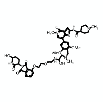 COc1cc(-c2cn(C)c(=O)c3cc(NC(=O)C4CCN(C)CC4)sc23)cc(OC)c1CN(C)CC(O)NCCOCCOc1cccc2c1C(=O)N(C1CCC(O)NC1=O)C2=O